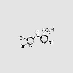 CCc1cc(Nc2ccc(Cl)cc2C(=O)O)cnc1Br